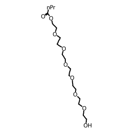 CCCC(=O)OCCOCCOCCOCCOCCOCCOCCO